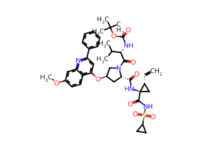 C=C[C@@H]1C[C@]1(NC(=O)[C@@H]1C[C@@H](Oc2cc(-c3ccccc3)nc3cc(OC)ccc23)CN1C(=O)[C@@H](NC(=O)OC(C)(C)C)C(C)C)C(=O)NS(=O)(=O)C1CC1